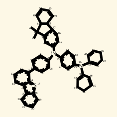 CC1(C)c2cc(N(c3ccc(-c4cccc5c4sc4ccccc45)cc3)c3ccc(N(C4=CCCC=C4)C4=CCCC=C4)cc3)ccc2C2C=CC=CC21